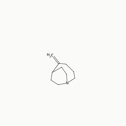 C=C1CCCN2CCC1CC2